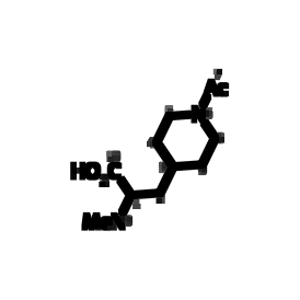 CNC(CC1CCN(C(C)=O)CC1)C(=O)O